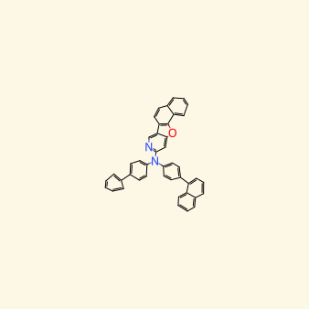 c1ccc(-c2ccc(N(c3ccc(-c4cccc5ccccc45)cc3)c3cc4oc5c6ccccc6ccc5c4cn3)cc2)cc1